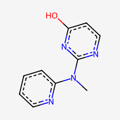 CN(c1ccccn1)c1nccc(O)n1